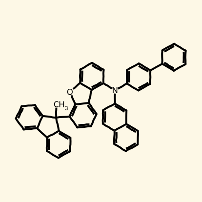 CC1(c2cccc3c2oc2cccc(N(c4ccc(-c5ccccc5)cc4)c4ccc5ccccc5c4)c23)c2ccccc2-c2ccccc21